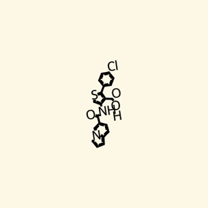 O=C(Nc1csc(-c2ccc(Cl)cc2)c1C(=O)O)c1ccc2cccn2c1